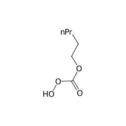 CCCCCOC(=O)OO